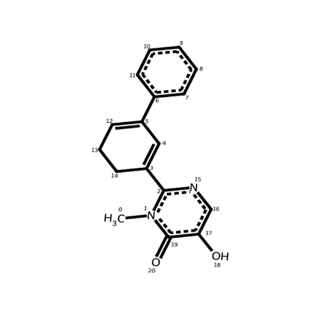 Cn1c(C2=CC(c3ccccc3)=CCC2)ncc(O)c1=O